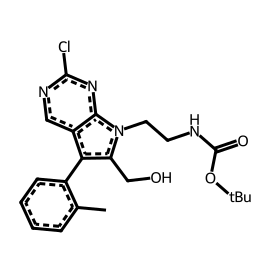 Cc1ccccc1-c1c(CO)n(CCNC(=O)OC(C)(C)C)c2nc(Cl)ncc12